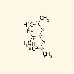 CC(C)CC(CC(C)C)C(C)F